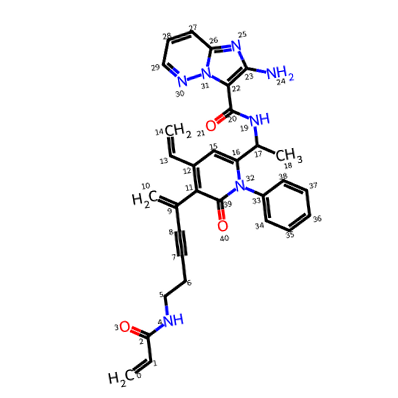 C=CC(=O)NCCC#CC(=C)c1c(C=C)cc(C(C)NC(=O)c2c(N)nc3cccnn23)n(-c2ccccc2)c1=O